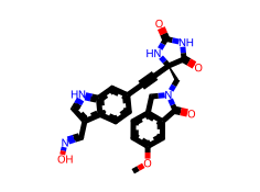 COc1ccc2c(c1)C(=O)N(C[C@@]1(C#Cc3ccc4c(C=NO)c[nH]c4c3)NC(=O)NC1=O)C2